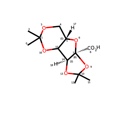 CC1(C)OC[C@@H]2O[C@@]3(C(=O)O)OC(C)(C)O[C@H]3C2O1